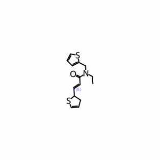 CCN(Cc1cccs1)C(=O)/C=C/C1CC=CS1